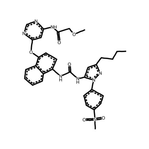 CCCCc1cc(NC(=O)Nc2ccc(Oc3cc(NC(=O)COC)ncn3)c3ccccc23)n(-c2ccc(S(C)(=O)=O)cc2)n1